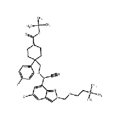 CC(C)(C)OC(=O)N1CCC(COC(C#N)c2cc(Cl)cc3cn(COCC[Si](C)(C)C)nc23)(c2ccc(F)cc2)CC1